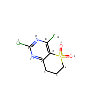 O=S1(=O)CCCc2nc(Cl)nc(Cl)c21